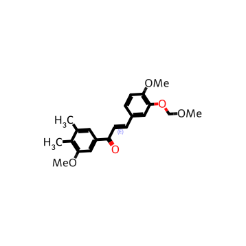 COCOc1cc(/C=C/C(=O)c2cc(C)c(C)c(OC)c2)ccc1OC